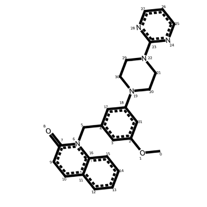 COc1cc(Cn2c(=O)ccc3ccccc32)cc(N2CCN(c3ncccn3)CC2)c1